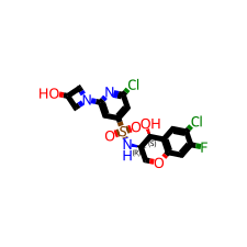 O=S(=O)(N[C@@H]1COc2cc(F)c(Cl)cc2[C@@H]1O)c1cc(Cl)nc(N2CC(O)C2)c1